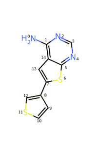 Nc1ncnc2sc(-c3ccsc3)cc12